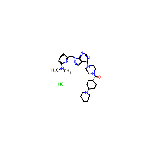 CN(C)c1cccc(Cn2ncc3c(N4CCN(C(=O)[C@H]5CC[C@H](N6CCCCC6)CC5)CC4)ncnc32)n1.Cl